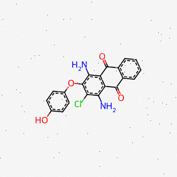 Nc1c(Cl)c(Oc2ccc(O)cc2)c(N)c2c1C(=O)c1ccccc1C2=O